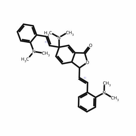 CN(C)c1ccccc1/C=C/C1OC(=O)C2=CC(/C=C/c3ccccc3N(C)C)(N(C)C)C=CC21